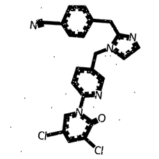 N#Cc1ccc(Cc2nccn2Cc2ccc(-n3cc(Cl)cc(Cl)c3=O)nc2)cc1